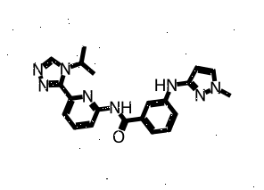 CC(C)n1cnnc1-c1cccc(NC(=O)c2cccc(Nc3ccn(C)n3)c2)n1